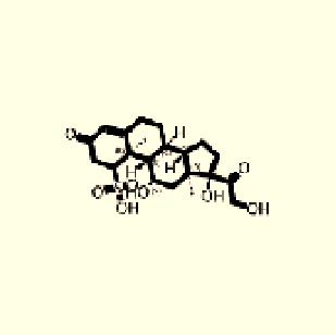 C[C@]12C[C@H](O)[C@H]3[C@@H](CCC4=CC(=O)CC(S(=O)(=O)O)[C@@]43C)[C@@H]1CC[C@]2(O)C(=O)CO